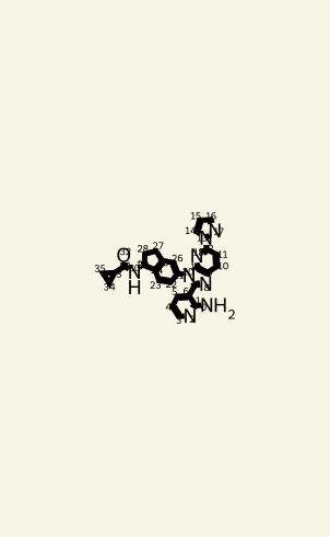 Nc1ncccc1-c1nc2ccc(-n3cccn3)nc2n1-c1ccc2c(c1)CC[C@@H]2NC(=O)C1CC1